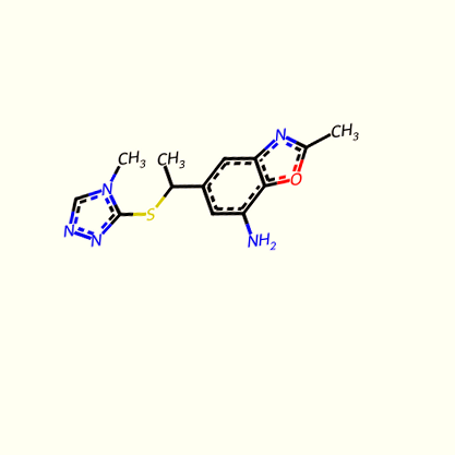 Cc1nc2cc(C(C)Sc3nncn3C)cc(N)c2o1